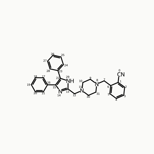 N#Cc1ccccc1CN1CCN(Cc2nc(-c3ccccc3)c(-c3ccccc3)[nH]2)CC1